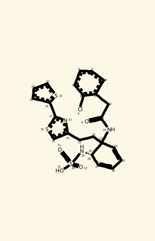 O=C(Cc1ccccc1Cl)NC1(CCc2csc(-c3cccs3)n2)C=CC=C[C@@H]1NS(=O)(=O)O